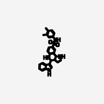 Cc1ccc(NS(=O)(=O)c2ccc3c(c2)C2NCCC2C(c2c[nH]c4ccccc24)N3)cc1C